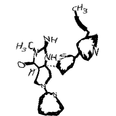 CC#Cc1cncc(-c2ccc([C@]34CN(c5ccccn5)C[C@H]3C(=O)N(C)C(=N)N4)s2)c1